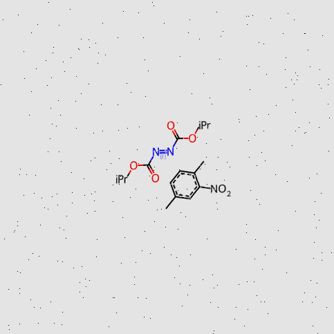 CC(C)OC(=O)/N=N/C(=O)OC(C)C.Cc1ccc(C)c([N+](=O)[O-])c1